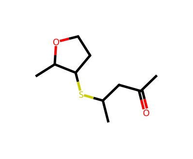 CC(=O)CC(C)SC1CCOC1C